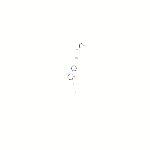 CCCOCCCCCc1cccn(-c2ccc(N3C[C@H](CNC(=O)c4ccc(Cl)s4)OC3=O)cc2C)c1=O